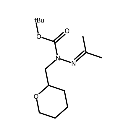 CC(C)=NN(CC1CCCCO1)C(=O)OC(C)(C)C